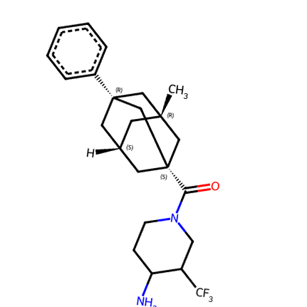 C[C@]12C[C@@H]3C[C@](C(=O)N4CCC(N)C(C(F)(F)F)C4)(C1)C[C@@](c1ccccc1)(C3)C2